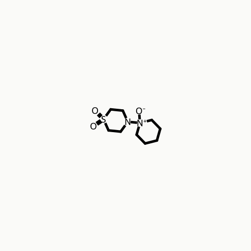 O=S1(=O)CCN([N+]2([O-])CCCCC2)CC1